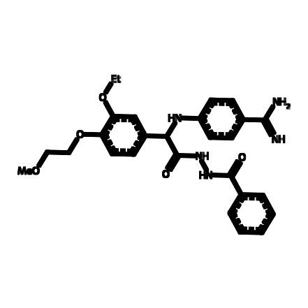 CCOc1cc(C(Nc2ccc(C(=N)N)cc2)C(=O)NNC(=O)c2ccccc2)ccc1OCCOC